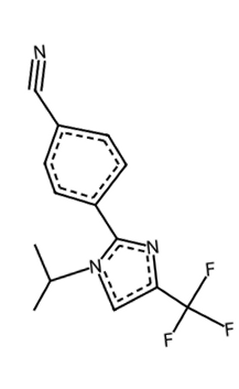 CC(C)n1cc(C(F)(F)F)nc1-c1ccc(C#N)cc1